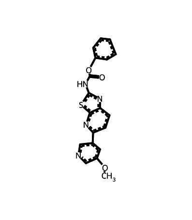 COc1cncc(-c2ccc3nc(NC(=O)Oc4ccccc4)sc3n2)c1